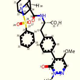 COc1cnn(C)c(=O)c1-c1ccc(C[C@H](NC(=O)[C@@H]2C3CCC(CC3)N2S(=O)(=O)c2ccccc2)C(=O)O)cc1